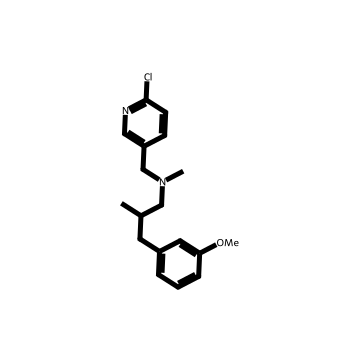 COc1cccc(CC(C)CN(C)Cc2ccc(Cl)nc2)c1